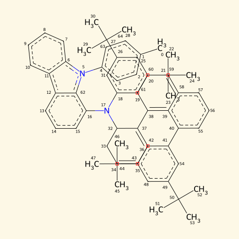 Cc1ccc(-n2c3ccccc3c3cccc(N(c4cc(C(C)(C)C)cc(C(C)(C)C)c4)C4CC=CC=C4C4=c5c(-c6cc(C(C)(C)C)cc(C(C)(C)C)c6)cccc5=CCC4)c32)cc1